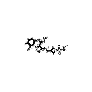 CC(C)NS(=O)(=O)N1CC(CNc2nonc2/C(=N/O)Nc2ccc(F)c(Br)c2)C1